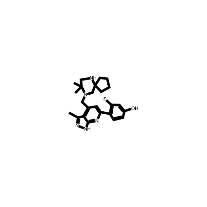 Cc1n[nH]c2nc(-c3ccc(O)cc3F)cc(CN3CC4(CCCC4)NCC3(C)C)c12